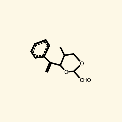 C=C(c1ccccc1)C1OC(C=O)OCC1C